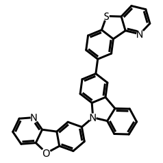 c1cnc2c(c1)oc1ccc(-n3c4ccccc4c4cc(-c5ccc6sc7cccnc7c6c5)ccc43)cc12